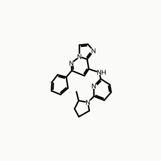 CC1CCCN1c1cccc(Nc2cc(-c3c[c]ccc3)nn3ccnc23)n1